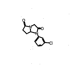 O=C1CCC2N1CC(=O)N2c1cccc(Cl)c1